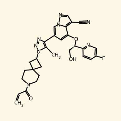 C=CC(=O)N1CCC2(CC1)CC(n1nnc(-c3cc(O[C@H](CO)c4ccc(F)cn4)c4c(C#N)cnn4c3)c1C)C2